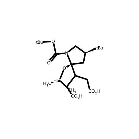 C[SiH](C)O[C@]1(C(CC(=O)O)CC(=O)O)C[C@H](C(C)(C)C)CN1C(=O)OC(C)(C)C